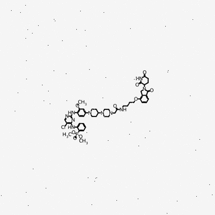 COc1cc(N2CCC(N3CCN(CC(=O)NCCCCOc4cccc5c4CN(C4CCC(=O)NC4=O)C5=O)CC3)CC2)ccc1Nc1ncc(Cl)c(Nc2ccccc2P(=O)(OC)OC)n1